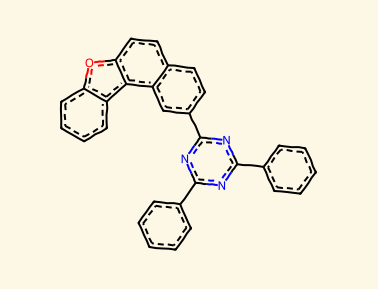 c1ccc(-c2nc(-c3ccccc3)nc(-c3ccc4ccc5oc6ccccc6c5c4c3)n2)cc1